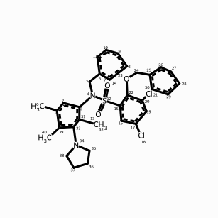 Cc1cc(N(Cc2ccccc2)S(=O)(=O)c2cc(Cl)cc(Cl)c2OCc2ccccc2)c(C)c(N2CCCC2)c1C